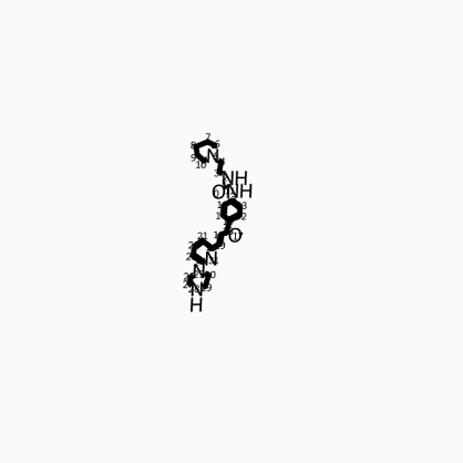 O=C(NCCN1CCCCC1)Nc1ccc(C(=O)/C=C/c2cccc(N3CCNCC3)n2)cc1